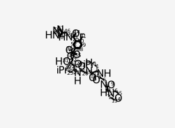 CC(C)C[C@H](NC(=O)CNC(=O)CN1CCOCC1)C(=O)NCC(=O)N[C@@H](CC(C)C)C(=O)[C@](C)(O)COS(=O)(=O)c1ccc(F)c(C(=O)NCc2c[nH]nn2)c1